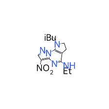 CCNc1nc2c([N+](=O)[O-])cnn2c2c1CCN2C(C)CC